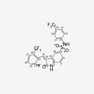 O=C1Nc2ccc(S(=O)(=O)Nc3ccc(C(F)(F)F)cc3)cc2C1=Cc1c(F)cccc1C(F)(F)F